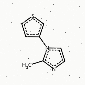 Cc1nccn1-c1c[c]sc1